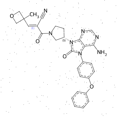 CC1(/C=C(\C#N)C(=O)N2CC[C@H](n3c(=O)n(-c4ccc(Oc5ccccc5)cc4)c4c(N)ncnc43)C2)COC1